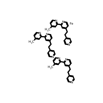 Cc1ccnc(-c2cc(CCc3ccncc3)ccn2)c1.Cc1ccnc(-c2cc(CCc3ccncc3)ccn2)c1.Cc1ccnc(-c2cc(CCc3ccncc3)ccn2)c1.[Fe]